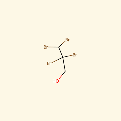 OCC(Br)(Br)C(Br)Br